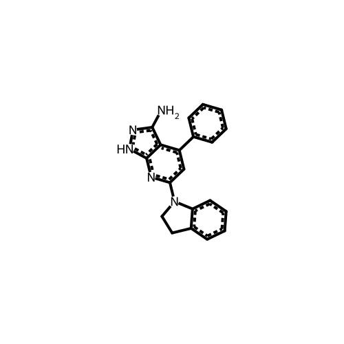 Nc1n[nH]c2nc(N3CCc4ccccc43)cc(-c3ccccc3)c12